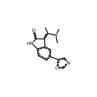 C/C(=C1\C(=O)Nc2ccc(-c3cnco3)cc21)N(C)C